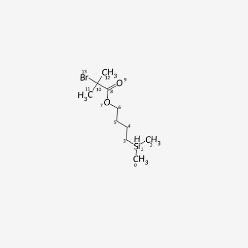 C[SiH](C)CCCCOC(=O)C(C)(C)Br